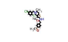 CC1Cc2sc(NC(=O)Cc3ccc([S+](C)[O-])cc3)c(C#N)c2CN1Cc1cc(Cl)ccc1Cl